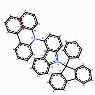 c1ccc(-c2ccccc2N(c2ccccc2)c2cccc3c2c2ccccc2n3C2(c3ccccc3)c3ccccc3-c3ccccc32)cc1